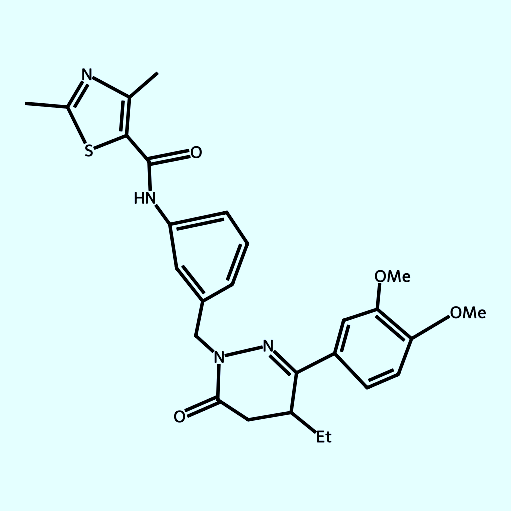 CCC1CC(=O)N(Cc2cccc(NC(=O)c3sc(C)nc3C)c2)N=C1c1ccc(OC)c(OC)c1